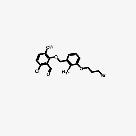 Cc1c(COc2c(O)ccc(Cl)c2C=O)cccc1OCCCBr